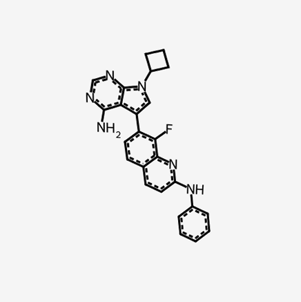 Nc1ncnc2c1c(-c1ccc3ccc(Nc4ccccc4)nc3c1F)cn2C1CCC1